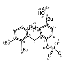 CC(C)(C)c1ccc(O)c(Cc2c(OP(=O)([O-])[O-])ccc(C(C)(C)C)c2C(C)(C)C)c1C(C)(C)C.[Al+3].[OH-]